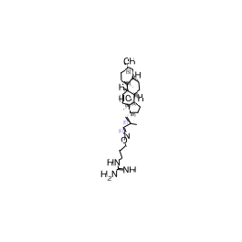 CC(/C=N/OCCCNC(=N)N)=C\[C@H]1CC[C@]2(O)[C@@H]3CC[C@@H]4C[C@@H](O)CC[C@]4(C)[C@H]3CC[C@]12C